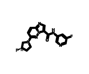 O=C(Nc1cncc(F)c1)c1cnc2ccc(N3CC[C@H](F)C3)nn12